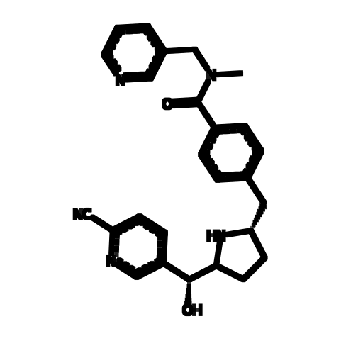 CN(Cc1cccnc1)C(=O)c1ccc(C[C@@H]2CCC([C@H](O)c3ccc(C#N)nc3)N2)cc1